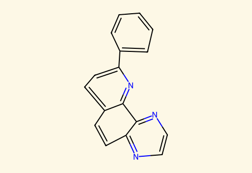 c1ccc(-c2ccc3ccc4nccnc4c3n2)cc1